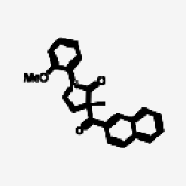 COc1ccccc1N1CC[C@@](C)(C(=O)c2ccc3ccccc3c2)C1=O